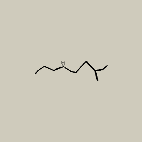 CCCBCCC(C)C